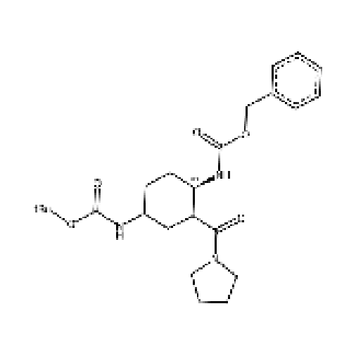 CC(C)(C)OC(=O)NC1CC[C@@H](NC(=O)OCc2ccccc2)C(C(=O)N2CCCC2)C1